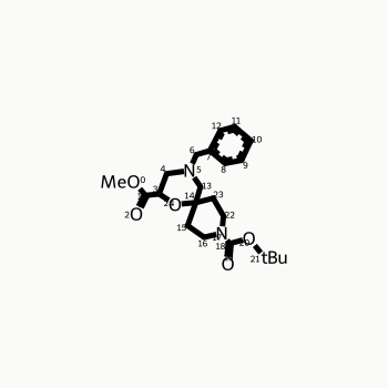 COC(=O)C1CN(Cc2ccccc2)CC2(CCN(C(=O)OC(C)(C)C)CC2)O1